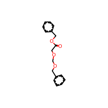 O=C(COCOCc1ccccc1)OCc1ccccc1